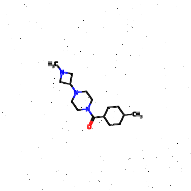 CC1CCC(C(=O)N2CCN(C3CN(C)C3)CC2)CC1